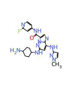 Cn1ccc(Nc2cc(NC3CCC(N)CC3)nn3c(C(=O)Nc4ccnc(F)c4)cnc23)n1